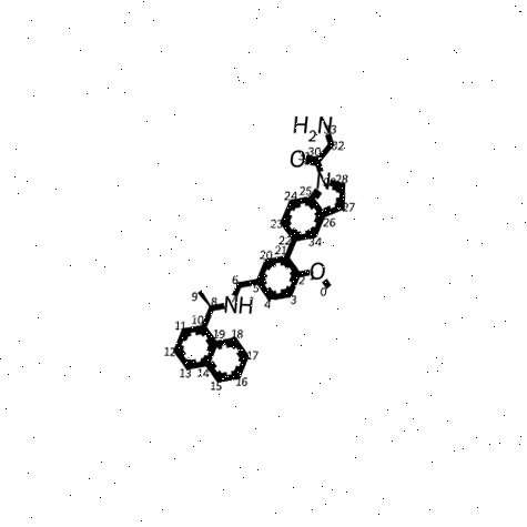 COc1ccc(CN[C@H](C)c2cccc3ccccc23)cc1-c1ccc2c(ccn2C(=O)CN)c1